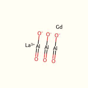 [Gd].[La+3].[O]=[Al][O-].[O]=[Al][O-].[O]=[Al][O-]